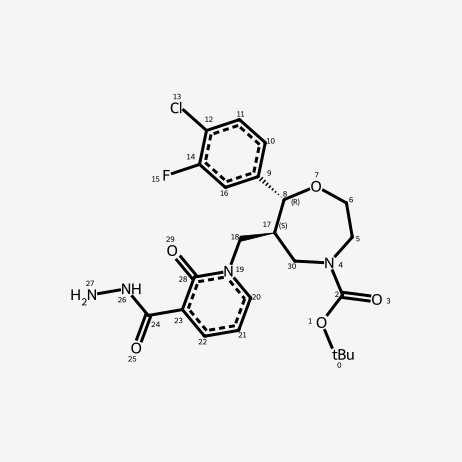 CC(C)(C)OC(=O)N1CCO[C@@H](c2ccc(Cl)c(F)c2)[C@H](Cn2cccc(C(=O)NN)c2=O)C1